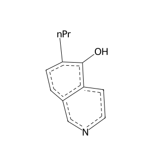 CCCc1ccc2cnccc2c1O